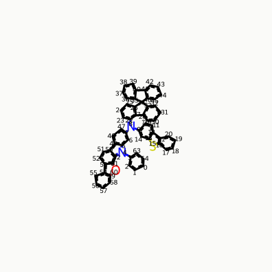 c1ccc(-n2c3cc(N(c4ccc5c(c4)sc4ccccc45)c4cccc5c4-c4ccccc4C54c5ccccc5-c5ccccc54)ccc3c3ccc4c5ccccc5oc4c32)cc1